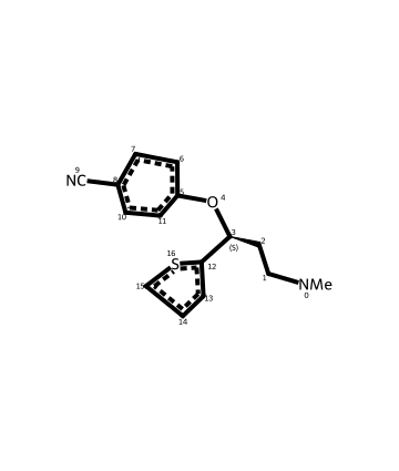 CNCC[C@H](Oc1ccc(C#N)cc1)c1cccs1